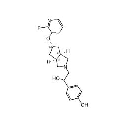 Oc1ccc(C(O)CN2C[C@H]3C[C@H](Oc4cccnc4F)C[C@H]3C2)cc1